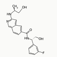 C[C@@H](CO)Nc1cc2cc(C(=O)N[C@H](CO)c3cccc(F)c3)ccc2cn1